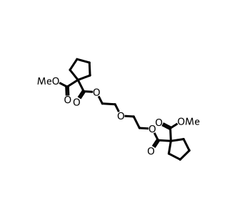 COC(=O)C1(C(=O)OCCOCCOC(=O)C2(C(=O)OC)CCCC2)CCCC1